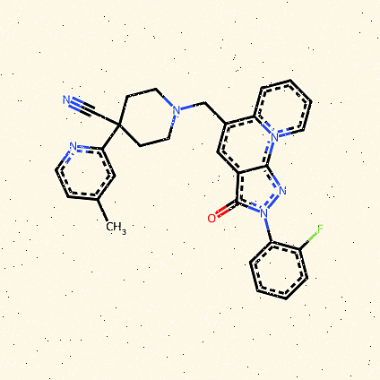 Cc1ccnc(C2(C#N)CCN(Cc3cc4c(=O)n(-c5ccccc5F)nc-4n4ccccc34)CC2)c1